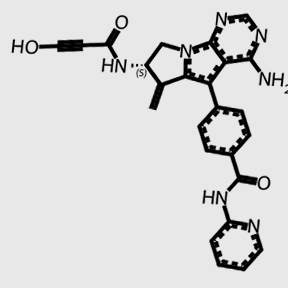 C=C1c2c(-c3ccc(C(=O)Nc4ccccn4)cc3)c3c(N)ncnc3n2C[C@H]1NC(=O)C#CO